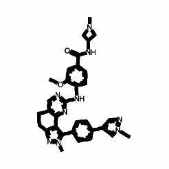 COc1cc(C(=O)NC2CN(C)C2)ccc1Nc1ncc2c(n1)-c1c(nn(C)c1-c1ccc(-c3cnn(C)c3)cc1)CC2